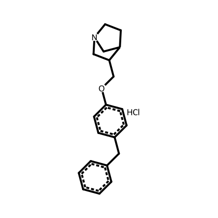 Cl.c1ccc(Cc2ccc(OCC3CN4CCC3C4)cc2)cc1